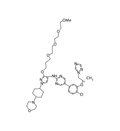 COCCOCCOCCOCCCOc1nn(C2CCC(N3CCOCC3)CC2)cc1Nc1ncc(-c2ccc(Cl)c(O[C@@H](C)Cn3cncn3)c2)cn1